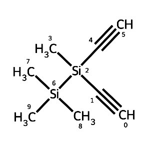 C#C[Si](C)(C#C)[Si](C)(C)C